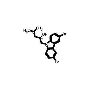 CN(C)C[C@H](O)Cn1c2ccc(Br)cc2c2cc(Br)ccc21